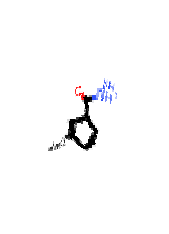 COC1CCC(C(=O)NN)C1